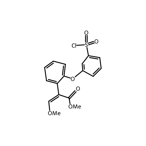 COC=C(C(=O)OC)c1ccccc1Oc1cccc(S(=O)(=O)Cl)c1